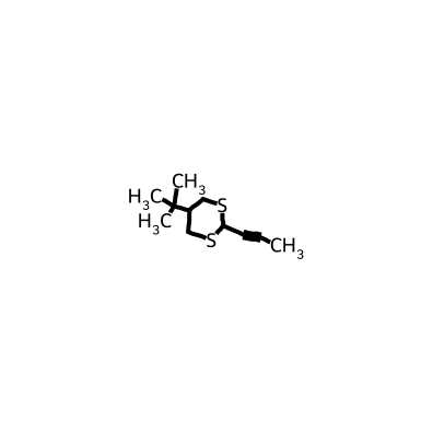 CC#CC1SCC(C(C)(C)C)CS1